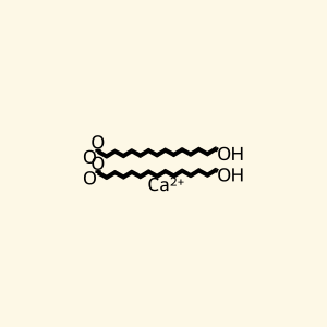 O=C([O-])CCCCCCCCCCCCCCO.O=C([O-])CCCCCCCCCCCCCCO.[Ca+2]